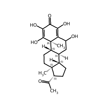 CC(=O)[C@H]1CC[C@H]2[C@@H]3CC(O)C4=C(O)C(=O)C(O)=C(O)[C@]4(C)[C@H]3CC[C@]12C